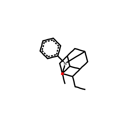 CCC1C2CC3CC1C(CC)C(C2)N3c1ccccc1